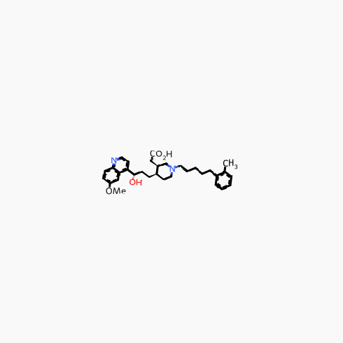 COc1ccc2nccc([C@@H](O)CC[C@@H]3CCN(CCCCCc4ccccc4C)C[C@@H]3CC(=O)O)c2c1